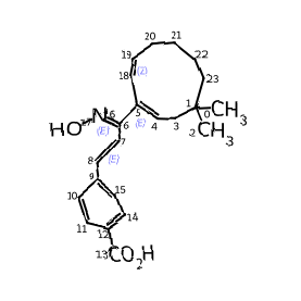 CC1(C)C/C=C(C(/C=C/c2ccc(C(=O)O)cc2)=N/O)\C=C/CCCC1